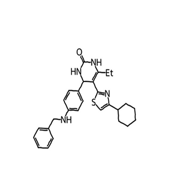 CCC1=C(c2nc(C3CCCCC3)cs2)C(c2ccc(NCc3ccccc3)cc2)NC(=O)N1